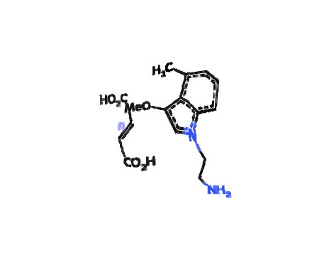 COc1cn(CCN)c2cccc(C)c12.O=C(O)/C=C/C(=O)O